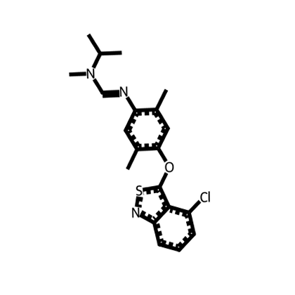 Cc1cc(Oc2snc3cccc(Cl)c23)c(C)cc1N=CN(C)C(C)C